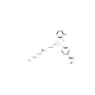 CC(C)(C)OC(=O)NCC(=O)NCCCS(=O)(=O)N(Cc1cccc(Cl)c1Cl)c1ccc(-c2cnco2)cc1